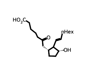 CCCCCC/C=C/C1[C@@H](CC(=O)CCCCC(=O)O)CC[C@H]1O